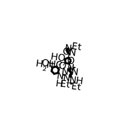 CCc1noc([C@H]2O[C@@H](n3cnc4c(NC(CC)CC)nc(N[C@H]5CC[C@H](N)CC5)nc43)[C@H](OC=O)[C@@H]2O)n1